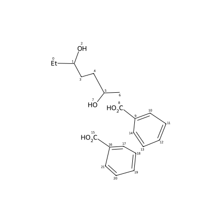 CCC(O)CCC(C)O.O=C(O)c1ccccc1.O=C(O)c1ccccc1